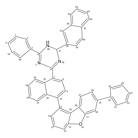 c1ccc(C2=NC(c3ccc(-c4cccc5oc6cc(-c7ccccc7)ccc6c45)c4ccccc34)=NC(c3ccc4ccccc4c3)N2)cc1